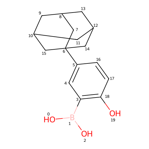 OB(O)c1cc(C23CC4CC(CC(C4)C2)C3)ccc1O